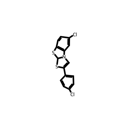 Clc1ccc(C2=CN3c4cc(Cl)ccc4SC3S2)cc1